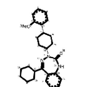 COc1ccccc1[C@H]1CC[C@@H](N2N=C(C3CCCCC3)c3ccccc3NC2=O)CC1